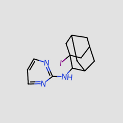 IC12CC3CC(CC(C3)C1Nc1ncccn1)C2